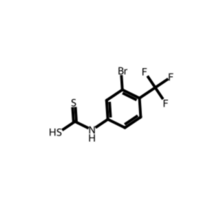 FC(F)(F)c1ccc(NC(=S)S)cc1Br